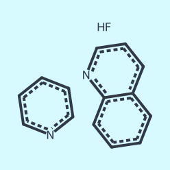 F.c1ccc2ncccc2c1.c1ccncc1